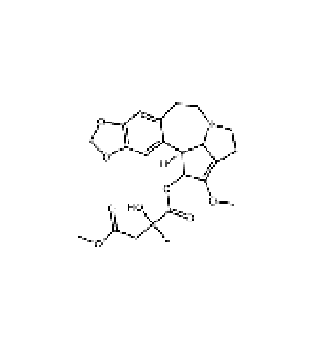 COC(=O)CC(O)(F)C(=O)OC1C(OC)=C2CCN3CCc4cc5c(cc4[C@H]1C23)OCO5